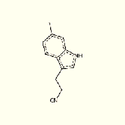 [C-]#[N+]CCc1c[nH]c2cc(C)ccc12